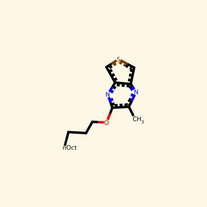 CCCCCCCCCCCOc1nc2cscc2nc1C